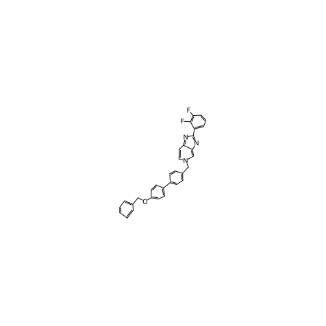 Fc1cccc(-c2nc3ccn(Cc4ccc(-c5ccc(OCc6ccccc6)cc5)cc4)cc-3n2)c1F